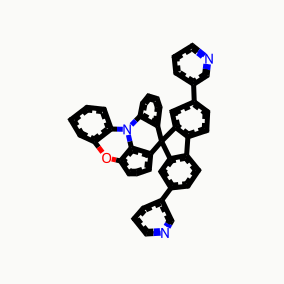 c1cncc(-c2ccc3c(c2)C2(c4cc(-c5cccnc5)ccc4-3)c3ccccc3N3c4ccccc4Oc4cccc2c43)c1